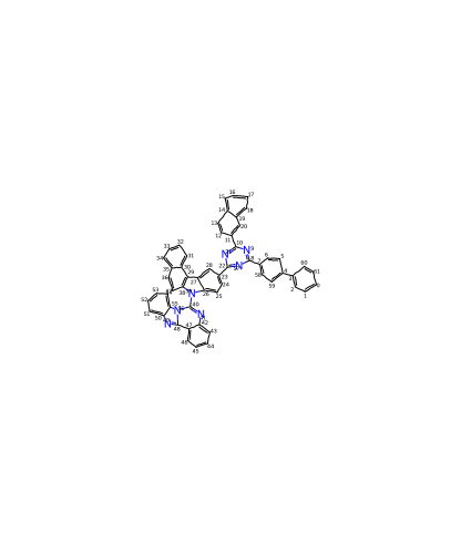 c1ccc(-c2ccc(-c3nc(-c4ccc5ccccc5c4)nc(-c4ccc5c(c4)c4c6ccccc6ccc4n5-c4nc5ccccc5c5nc6ccccc6n45)n3)cc2)cc1